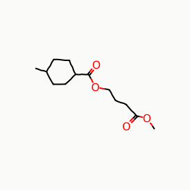 COC(=O)CCCOC(=O)C1CCC(C)CC1